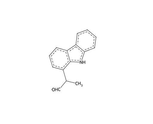 CC([C]=O)c1cccc2c1[nH]c1ccccc12